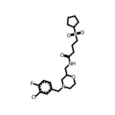 O=C(CCCS(=O)(=O)C1CCCC1)NCC1CN(Cc2ccc(F)c(Cl)c2)CCO1